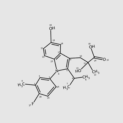 Cc1cc(-n2c(C(C)C)c(CC(C)(O)C(=O)O)c3cc(O)ccc32)ccc1F